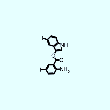 Nc1ccc(I)cc1C(=O)Oc1c[nH]c2ccc(I)cc12